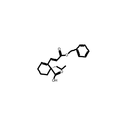 CCC[C@]1(C(=O)O)CCCC=C1C=CC(=O)OCc1ccccc1